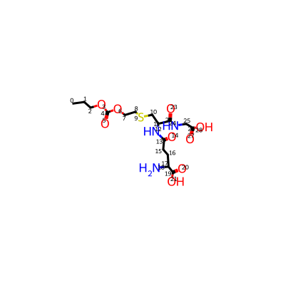 CCCOC(=O)OCCSCC(NC(=O)CCC(N)C(=O)O)C(=O)NCC(=O)O